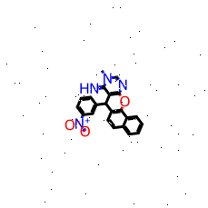 Cn1cnc2c(c1=N)C(c1cccc([N+](=O)[O-])c1)c1ccc3ccccc3c1O2